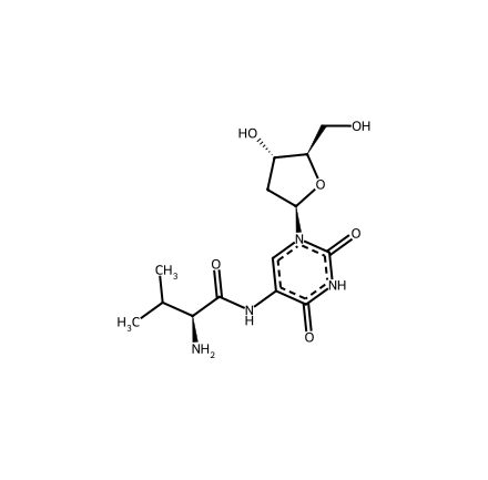 CC(C)[C@H](N)C(=O)Nc1cn([C@H]2C[C@H](O)[C@@H](CO)O2)c(=O)[nH]c1=O